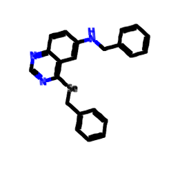 c1ccc(CNc2ccc3ncnc([Se]Cc4ccccc4)c3c2)cc1